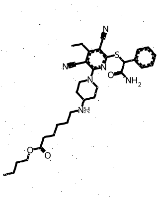 CCCCOC(=O)CCCCCNC1CCN(c2nc(SC(C(N)=O)c3ccccc3)c(C#N)c(CC)c2C#N)CC1